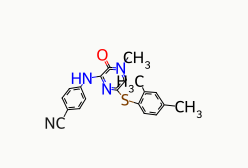 Cc1ccc(Sc2cn(C)c(=O)c(Nc3ccc(C#N)cc3)n2)c(C)c1